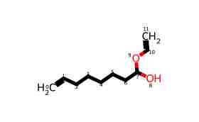 C=CCCCCCC(O)OC=C